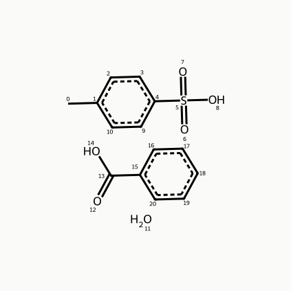 Cc1ccc(S(=O)(=O)O)cc1.O.O=C(O)c1ccccc1